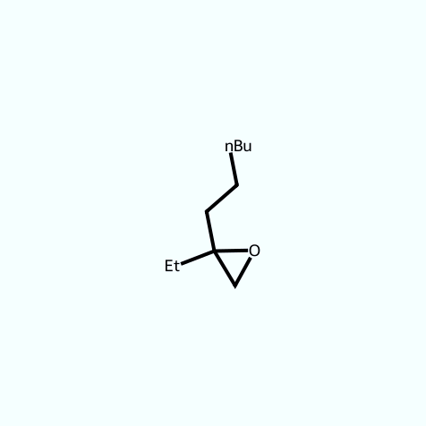 CCCCCCC1(CC)CO1